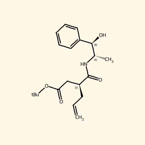 C=CC[C@@H](CC(=O)OC(C)(C)C)C(=O)N[C@@H](C)[C@H](O)c1ccccc1